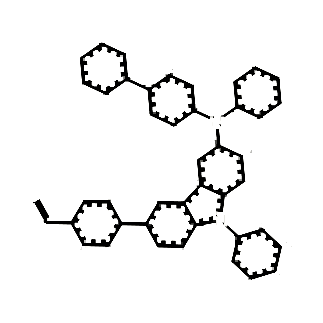 C=Cc1ccc(-c2ccc3c(c2)c2cc(N(c4ccccc4)c4ccc(-c5ccccc5)cc4)ccc2n3-c2ccccc2)cc1